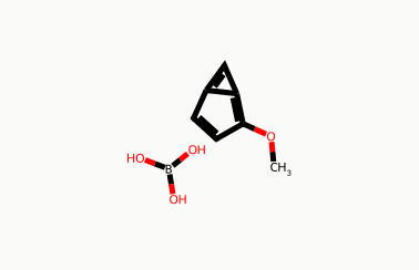 COc1ccc2cc1-2.OB(O)O